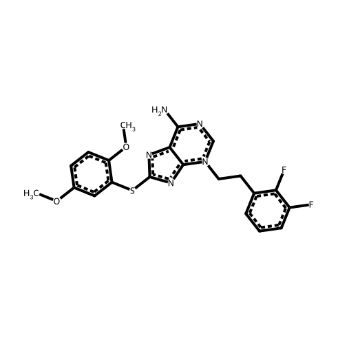 COc1ccc(OC)c(Sc2nc3c(N)ncn(CCc4cccc(F)c4F)c-3n2)c1